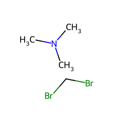 BrCBr.CN(C)C